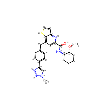 CO[C@@H]1CCCC[C@H]1NC(=O)c1cc(Cc2ccc(-c3cn(C)nn3)cc2)c2sccc2n1